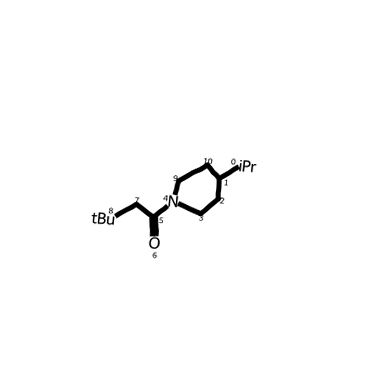 CC(C)C1CCN(C(=O)CC(C)(C)C)CC1